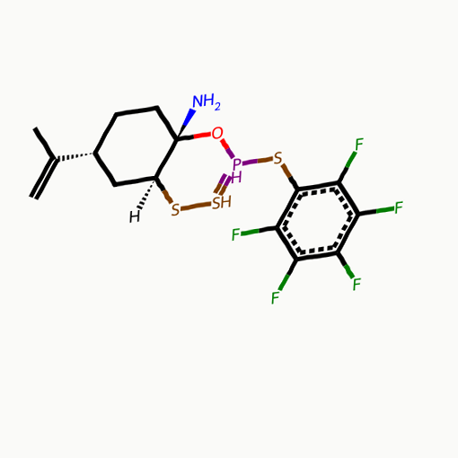 C=C(C)[C@@H]1CC[C@]2(N)O[PH](Sc3c(F)c(F)c(F)c(F)c3F)=[SH]S[C@H]2C1